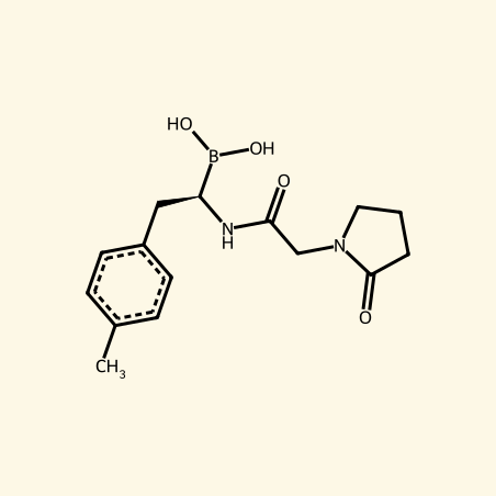 Cc1ccc(C[C@H](NC(=O)CN2CCCC2=O)B(O)O)cc1